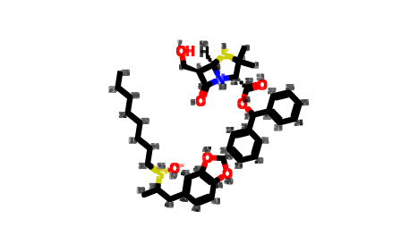 CC1(C)S[C@@H]2[C@H](CO)C(=O)N2[C@H]1C(=O)OC(c1ccccc1)c1ccccc1.CCCCCCCC[S+]([O-])C(C)Cc1ccc2c(c1)OCO2